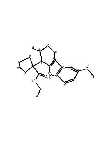 CCOC(=O)C1(C2c3[nH]c4ccc(OC)cc4c3CCN2C)CCCC1